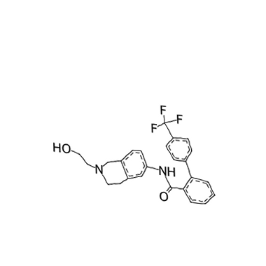 O=C(Nc1ccc2c(c1)CCN(CCO)C2)c1ccccc1-c1ccc(C(F)(F)F)cc1